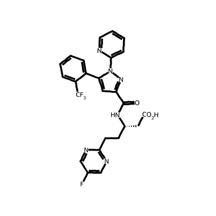 O=C(O)C[C@H](CCc1ncc(F)cn1)NC(=O)c1cc(-c2ccccc2C(F)(F)F)n(-c2ccccn2)n1